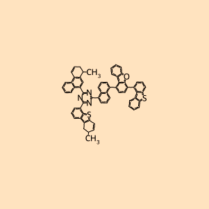 CC1C=Cc2sc3c(-c4nc(-c5cccc6c(-c7ccc(-c8cccc9sc%10ccccc%10c89)c8oc9ccccc9c78)cccc56)nc(-c5cc6c(c7ccccc57)C=CCC6C)n4)cccc3c2C1